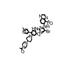 COc1cc(N2CCC(N3CCN(C(C)=O)CC3)CC2)c(-c2cnn(C)c2)cc1Nc1ncc(Br)c(Nc2ccc3nccnc3c2P(C)(C)=O)n1